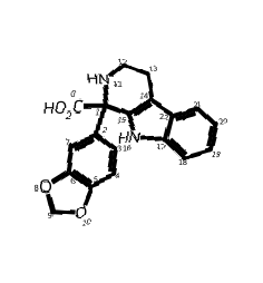 O=C(O)C1(c2ccc3c(c2)OCO3)NCCc2c1[nH]c1ccccc21